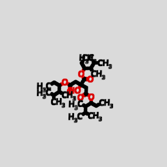 CCC(OC(=O)CC(O)(CC(=O)OC(CC)C(C)C(C)C)C(=O)OC(CC)C(C)C(C)C)C(C)C(C)C